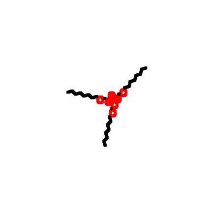 CCCCCCCCOCOP(=O)(OCOCCCCCCCC)OCOCCCCCCCC